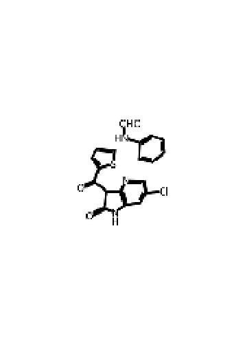 O=C1Nc2cc(Cl)cnc2C1C(=O)c1cccs1.O=CNc1ccccc1